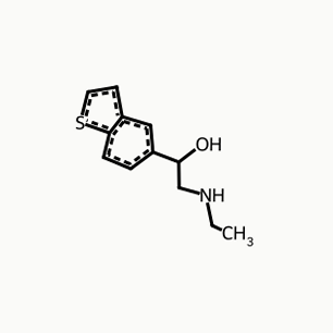 CCNCC(O)c1ccc2sccc2c1